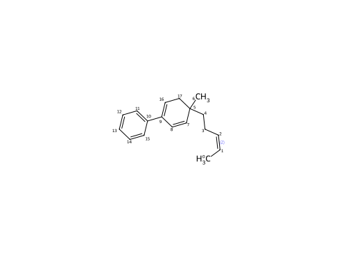 C/C=C\CCC1(C)C=CC(c2ccccc2)=CC1